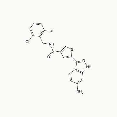 Nc1ccc2c(-c3cc(C(=O)NCc4c(F)cccc4Cl)cs3)n[nH]c2c1